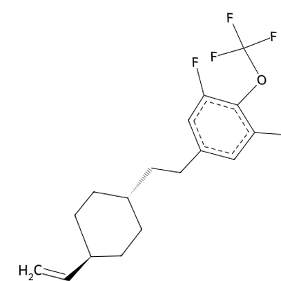 C=C[C@H]1CC[C@H](CCc2cc(F)c(OC(F)(F)F)c(F)c2)CC1